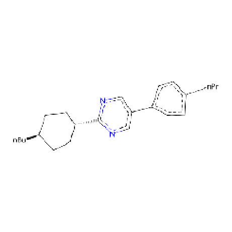 CCCC[C@H]1CC[C@H](c2ncc(-c3ccc(CCC)cc3)cn2)CC1